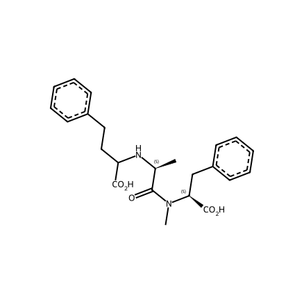 C[C@H](NC(CCc1ccccc1)C(=O)O)C(=O)N(C)[C@@H](Cc1ccccc1)C(=O)O